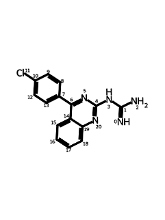 N=C(N)Nc1nc(-c2ccc(Cl)cc2)c2ccccc2n1